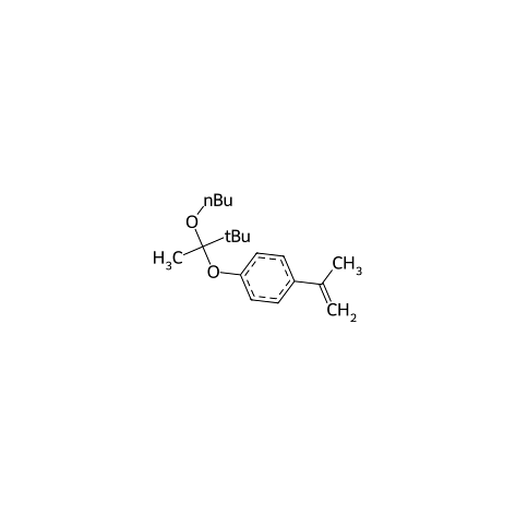 C=C(C)c1ccc(OC(C)(OCCCC)C(C)(C)C)cc1